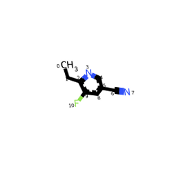 CCc1ncc(C#N)cc1F